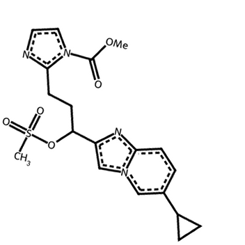 COC(=O)n1ccnc1CCC(OS(C)(=O)=O)c1cn2cc(C3CC3)ccc2n1